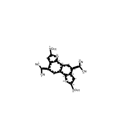 CCCCCCCCc1cc2c(=C(C#N)C#N)cc3c(cc(=C(C#N)C#N)c4cc(CCCCCCCC)sc43)c2o1